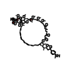 CNc1ccc(C(=O)CC(OC)C(C)CC(C)C2OC(=O)CC(=O)CCCC(=O)CC(OC)CC(OC)CC(OC)CC3(OC)CC(OC)C(C(=O)OC(C)O[N+](=O)[O-])C(C[C@@H](O[C@@H]4O[C@H](C)[C@@H](OC)[C@H](NC)[C@@H]4OC)/C=C/C=C/C=C/C=C/C=C/C=C/C=C/C2C)O3)cc1